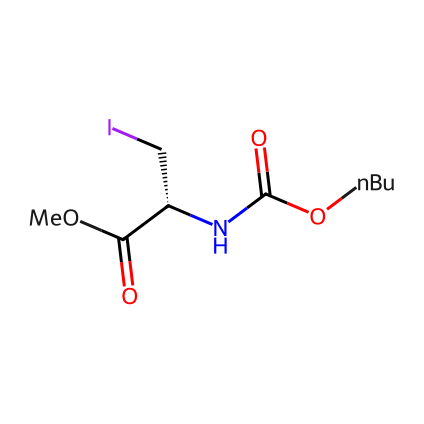 CCCCOC(=O)N[C@@H](CI)C(=O)OC